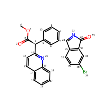 COC(=O)[C@@H](c1ccccc1)c1ccc2ccccc2n1.O=C1N=Cc2ccc(Br)cc21